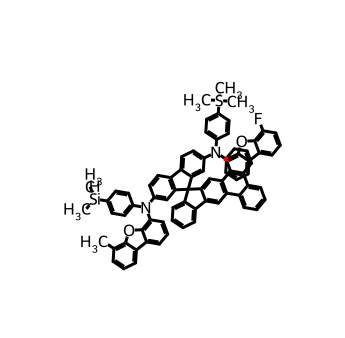 Cc1cccc2c1oc1c(N(c3ccc([SiH](C)C)cc3)c3ccc4c(c3)C3(c5ccccc5-c5cc6c(cc53)c3c(c5ccccc56)C=CCC3)c3cc(N(c5ccc(S(C)(C)C)cc5)c5cccc6c5oc5c(F)cccc56)ccc3-4)cccc12